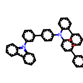 c1ccc(-c2ccc(N(c3ccc(-c4cccc(-n5c6ccccc6c6ccccc65)c4)cc3)c3ccccc3-c3ccccc3)cc2)cc1